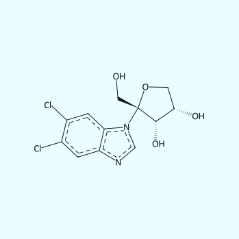 OC[C@@]1(n2cnc3cc(Cl)c(Cl)cc32)OC[C@H](O)[C@@H]1O